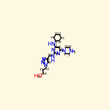 CN1CCN(c2cc(NC3CCCCC3)nc(NCc3cn(CCCO)nn3)n2)CC1